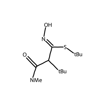 CNC(=O)C(/C(=N/O)SC(C)(C)C)C(C)(C)C